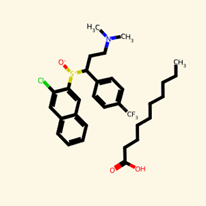 CCCCCCCCCC(=O)O.CN(C)CCC(c1ccc(C(F)(F)F)cc1)[S+]([O-])c1cc2ccccc2cc1Cl